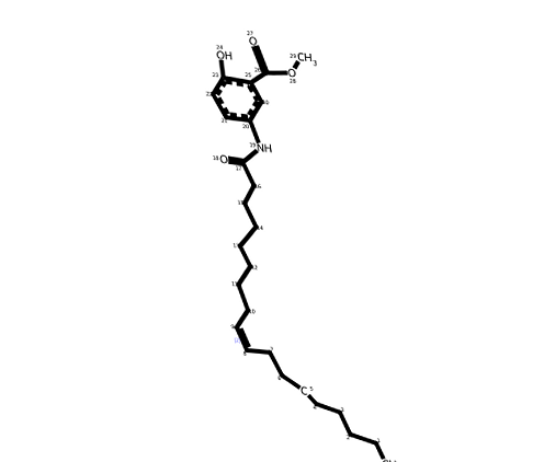 CCCCCCCC/C=C\CCCCCCCC(=O)Nc1ccc(O)c(C(=O)OC)c1